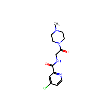 CN1CCN(C(=O)CNC(=O)c2cc(Cl)ccn2)CC1